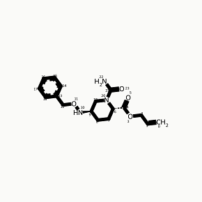 C=CCOC(=O)[C@@H]1CC[C@@H](NOCc2ccccc2)CN1C(N)=O